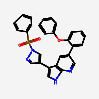 O=S(=O)(c1ccccc1)n1cc(-c2c[nH]c3ncc(-c4ccccc4Oc4ccccc4)cc23)cn1